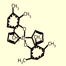 Cc1ccc(C)c([O][Zr]([O]c2c(C)ccc(C)c2C)([CH]2C=CC=C2)[CH]2C=CC=C2)c1C